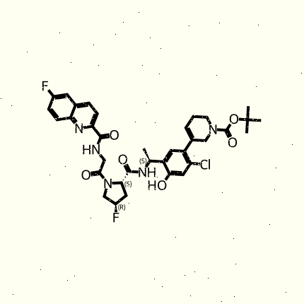 C[C@H](NC(=O)[C@@H]1C[C@@H](F)CN1C(=O)CNC(=O)c1ccc2cc(F)ccc2n1)c1cc(C2=CCCN(C(=O)OC(C)(C)C)C2)c(Cl)cc1O